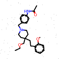 CCOCC1(CCc2ccccc2OC)CCN(Cc2ccc(NC(C)=O)cc2)CC1